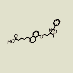 Cc1oc(-c2ccccc2)nc1CCOc1cccc2c1CCC=C2CCCCC(=O)O